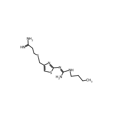 CCCCN/C(N)=N/c1nc(CSCCC(=N)N)cs1